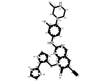 C#Cc1cc2cnc(Nc3ccc(N4CCNC(C)C4)c(F)c3)nc2n(Cc2ccsc2-c2nccs2)c1=O